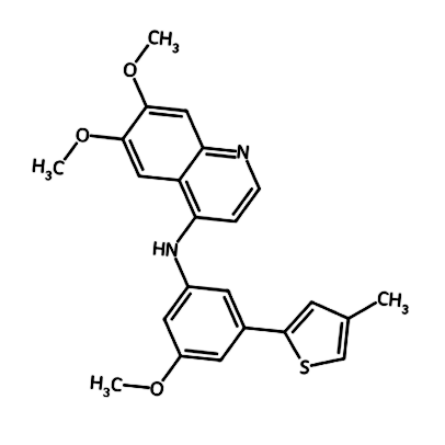 COc1cc(Nc2ccnc3cc(OC)c(OC)cc23)cc(-c2cc(C)cs2)c1